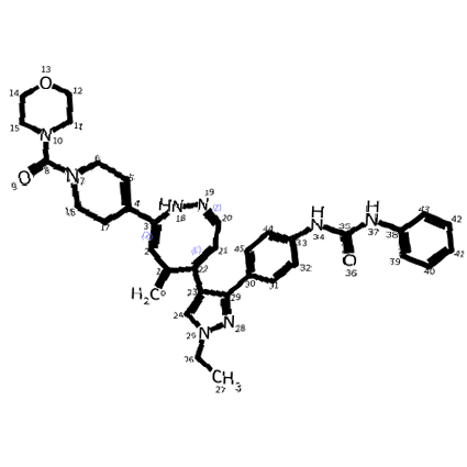 C=C1/C=C(/C2=CCN(C(=O)N3CCOCC3)CC2)N/N=C\C=C/1c1cn(CC)nc1-c1ccc(NC(=O)Nc2ccccc2)cc1